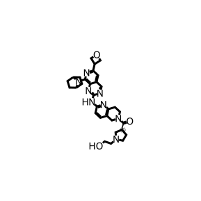 O=C([C@H]1CCN(CCO)C1)N1CCc2nc(Nc3ncc4cc(C5COC5)nc(N5C6CCC5CC6)c4n3)ccc2C1